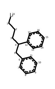 [Li][CH2]CCC(Cc1ccccc1)c1ccccc1